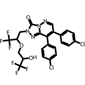 O=c1n(CC(OCC(O)C(F)(F)F)C(F)(F)F)nc2c(-c3ccc(Cl)cc3)c(-c3ccc(Cl)cc3)cnn12